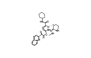 CC(C)C[C@H](NC(=O)c1cnc2ccccc2n1)C(=O)N[C@@H](C[C@@H]1CCCNC1=O)C(=O)C(=O)NC1CCCCC1